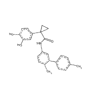 Cc1ccc(-c2cc(NC(=O)C3(c4ccc(O)c(O)c4)CC3)ccc2C)cc1